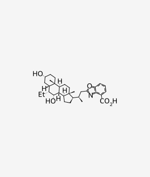 CC[C@H]1[C@@H](O)[C@@H]2[C@H](CC[C@]3(C)[C@@H]([C@H](C)Cc4nc5c(C(=O)O)cccc5o4)CC[C@@H]23)[C@@]2(C)CC[C@@H](O)C[C@@H]12